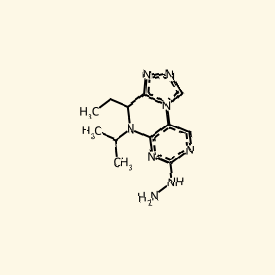 CCC1c2nncn2-c2cnc(NN)nc2N1C(C)C